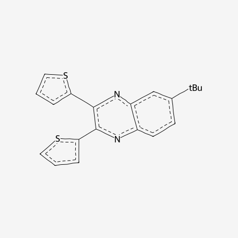 CC(C)(C)c1ccc2nc(-c3cccs3)c(-c3cccs3)nc2c1